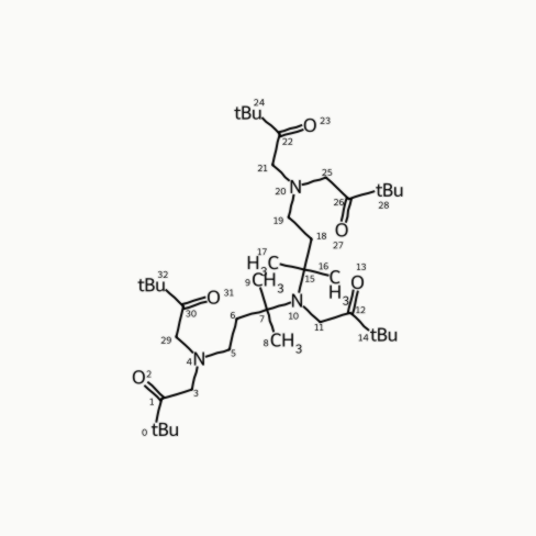 CC(C)(C)C(=O)CN(CCC(C)(C)N(CC(=O)C(C)(C)C)C(C)(C)CCN(CC(=O)C(C)(C)C)CC(=O)C(C)(C)C)CC(=O)C(C)(C)C